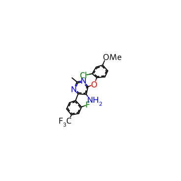 COc1ccc(Oc2nc(C)nc(-c3ccc(C(F)(F)F)cc3F)c2N)c(Cl)c1